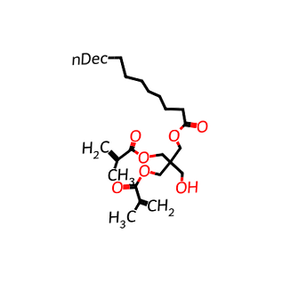 C=C(C)C(=O)OCC(CO)(COC(=O)CCCCCCCCCCCCCCCCC)COC(=O)C(=C)C